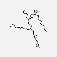 CCCCCCCC(=O)O.COCCOCCN(CCOCCOC)CCOCCOC